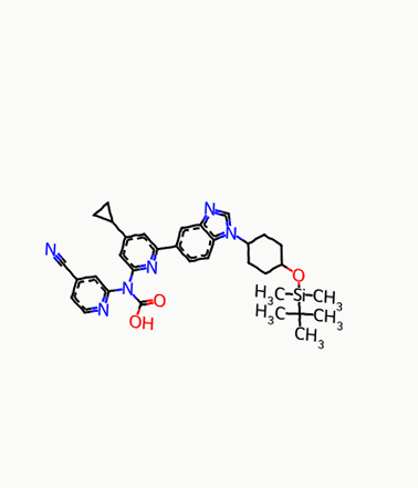 CC(C)(C)[Si](C)(C)OC1CCC(n2cnc3cc(-c4cc(C5CC5)cc(N(C(=O)O)c5cc(C#N)ccn5)n4)ccc32)CC1